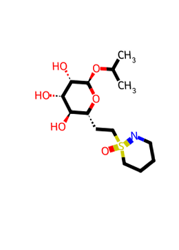 CC(C)O[C@H]1O[C@H](CCS2(=O)=NCCCC2)[C@@H](O)[C@H](O)[C@@H]1O